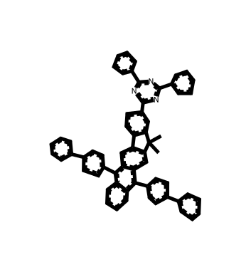 CC1(C)c2cc(-c3nc(-c4ccccc4)nc(-c4ccccc4)n3)ccc2-c2cc3c(-c4ccc(-c5ccccc5)cc4)c4ccccc4c(-c4ccc(-c5ccccc5)cc4)c3cc21